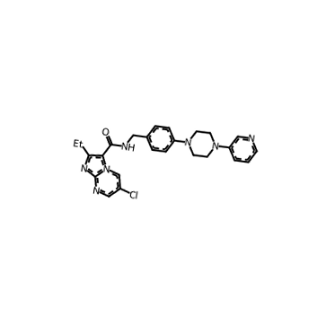 CCc1nc2ncc(Cl)cn2c1C(=O)NCc1ccc(N2CCN(c3cccnc3)CC2)cc1